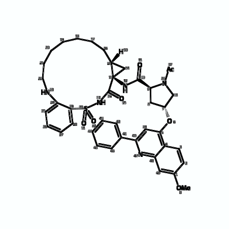 COc1ccc2c(O[C@@H]3C[C@@H](C(=O)N[C@]45C[C@H]4CCCCCCCNc4ccccc4S(=O)(=O)NC5=O)N(C(C)=O)C3)cc(-c3ccccc3)nc2c1